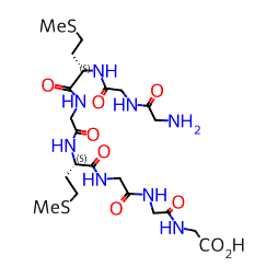 CSCC[C@H](NC(=O)CNC(=O)CN)C(=O)NCC(=O)N[C@@H](CCSC)C(=O)NCC(=O)NCC(=O)NCC(=O)O